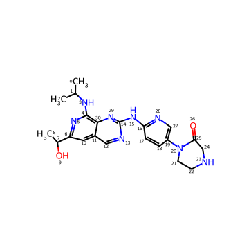 CC(C)Nc1nc(C(C)O)cc2cnc(Nc3ccc(N4CCNCC4=O)cn3)nc12